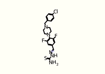 NC(=S)N/N=C/c1cc(F)c(N2CCN(Cc3ccc(Cl)cc3)CC2)c(F)c1